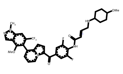 COc1c(-c2cccn3c(C(=O)c4cc(F)c(NC(=O)/C=C/CNC5CCC(OC)CC5)c(F)c4)ccc23)c(C(F)(F)F)cc2c1cnn2C